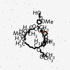 CO[C@@H]1C[C@H](C[C@@H](C)[C@@H]2CC(=O)[C@H](C)/C=C(\C)[C@@H](O)[C@@H](OC)C(=O)[C@H](C)C[C@H](C)/C=C/C=C/C=C(\C)C(OCCCC(=O)N(C)C)C[C@@H]3CC[C@@H](C)[C@@](O)(O3)C(=O)C(=O)N3CCCC[C@H]3C(=O)O2)CC[C@H]1OCCO